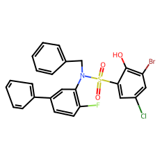 O=S(=O)(c1cc(Cl)cc(Br)c1O)N(Cc1ccccc1)c1cc(-c2ccccc2)ccc1F